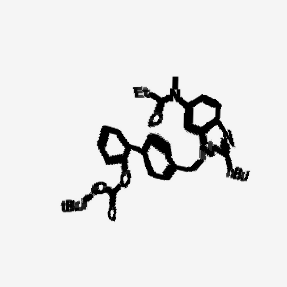 CCCCc1nc2ccc(N(C)C(=O)CC)cc2n1Cc1ccc(-c2ccccc2OC(=O)OC(C)(C)C)cc1